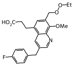 CCOOCc1cc(CCC(=O)O)c2cc(Cc3ccc(F)cc3)cnc2c1OC